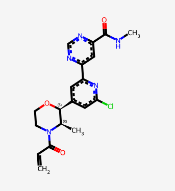 C=CC(=O)N1CCO[C@@H](c2cc(Cl)nc(-c3cc(C(=O)NC)ncn3)c2)[C@H]1C